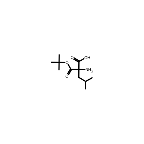 CC(C)CC(N)(C(=O)O)C(=O)OC(C)(C)C